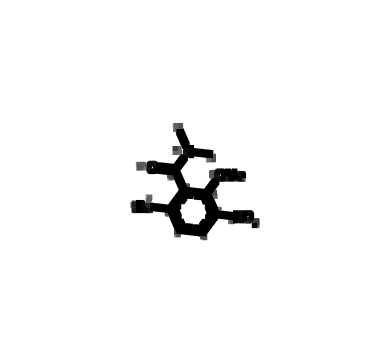 COc1c([N+](=O)[O-])ccc(C(C)(C)C)c1C(=O)N(C)C